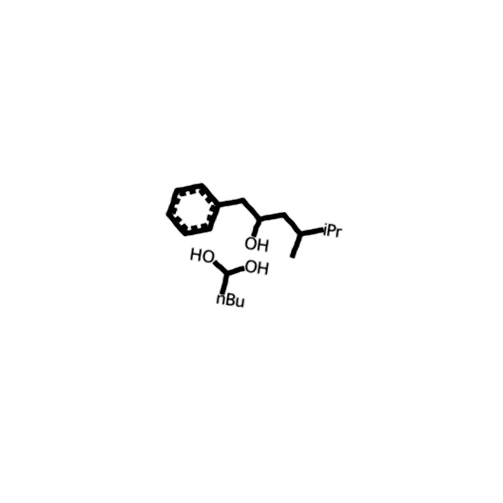 CC(C)C(C)CC(O)Cc1ccccc1.CCCCC(O)O